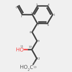 C=Cc1ccccc1CCC(O)CC(=O)O